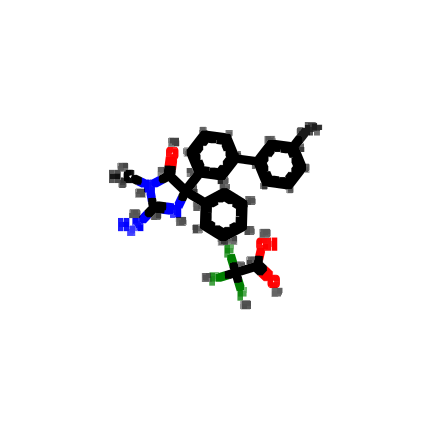 CC(C)c1cccc(-c2cccc(C3(c4ccccc4)N=C(N)N(C)C3=O)c2)c1.O=C(O)C(F)(F)F